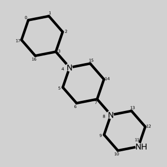 C1CCC(N2CCC(N3CCNCC3)CC2)CC1